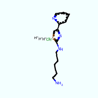 Cl.NCCCCCNc1nc(-c2ccccn2)cs1.[H+].[H+].[H+]